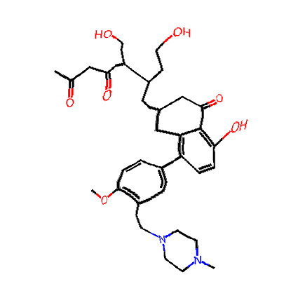 COc1ccc(-c2ccc(O)c3c2CC(CC(CCO)C(CO)C(=O)CC(C)=O)CC3=O)cc1CN1CCN(C)CC1